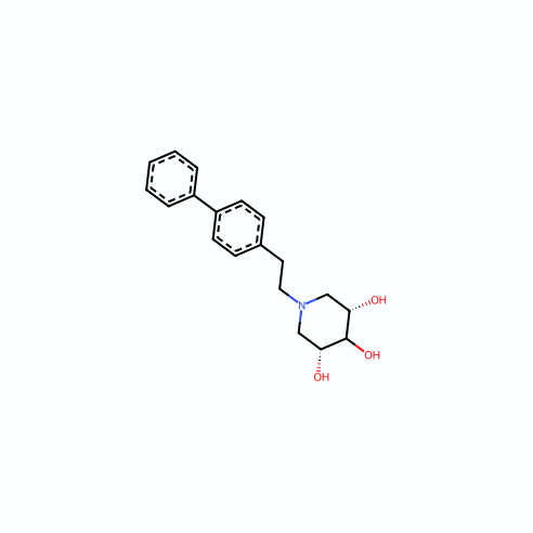 OC1[C@H](O)CN(CCc2ccc(-c3ccccc3)cc2)C[C@@H]1O